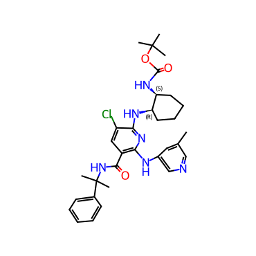 Cc1cncc(Nc2nc(N[C@@H]3CCCC[C@@H]3NC(=O)OC(C)(C)C)c(Cl)cc2C(=O)NC(C)(C)c2ccccc2)c1